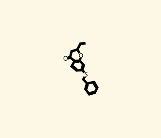 CCC1CC(=O)c2ccc(SCc3ccccc3)cc2O1